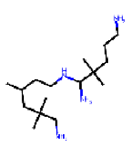 CC(CCNC(N)C(C)(C)CCCN)CC(C)(C)CN